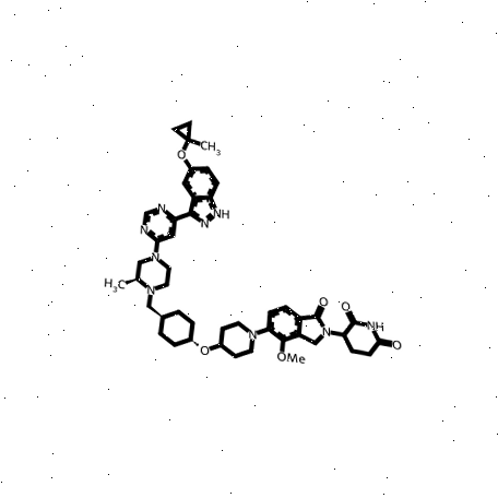 COc1c(N2CCC(O[C@H]3CC[C@H](CN4CCN(c5cc(-c6n[nH]c7ccc(OC8(C)CC8)cc67)ncn5)C[C@@H]4C)CC3)CC2)ccc2c1CN(C1CCC(=O)NC1=O)C2=O